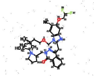 C[Si](C)(C)CCOCn1c(Cc2nn(CC3CCCN3CC(=O)O)c(=O)c3ccccc23)nc2cc(OCC(F)F)c(C#N)cc21